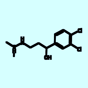 C[SH](C)NCCC(O)c1ccc(Cl)c(Cl)c1